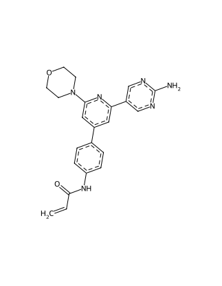 C=CC(=O)Nc1ccc(-c2cc(-c3cnc(N)nc3)nc(N3CCOCC3)c2)cc1